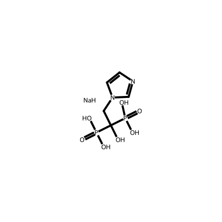 O=P(O)(O)C(O)(Cn1ccnc1)P(=O)(O)O.[NaH]